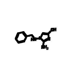 Nc1nc(O)cn1NCc1ccccc1